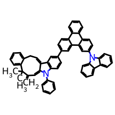 C=C1/C=c2\c(c3cc(-c4ccc5c6ccccc6c6ccc(-n7c8ccccc8c8ccccc87)cc6c5c4)ccc3n2-c2ccccc2)=C/Cc2ccccc2C1(C)C